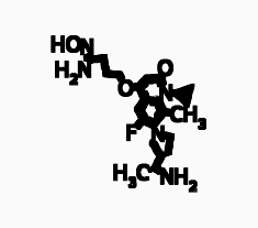 Cc1c(N2CC[C@@H]([C@H](C)N)C2)c(F)cc2c(OCCC/C(N)=N/O)cc(=O)n(C3CC3)c12